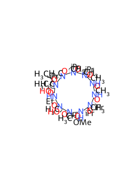 C/C=C/C[C@@H](C)[C@@H](O)[C@H]1C(=O)N[C@@H](CC)C(=O)N(C)[C@H](CO)C(=O)N(C)[C@@H]([C@H](C)COC)C(=O)N[C@@H](C(C)C)C(=O)N(C)[C@@H](CC(C)C)C(=O)N[C@@H](C)C(=O)N[C@H](C)C(=O)N(C)[C@@H](CC(C)C)C(=O)N(C)[C@@H](CC(C)C)C(=O)N(C)[C@@H](C(C)C)C(=O)N1C